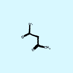 CC(=O)CC(C)[O]